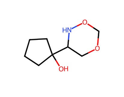 OC1(C2COCON2)CCCC1